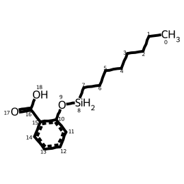 CCCCCCCC[SiH2]Oc1ccccc1C(=O)O